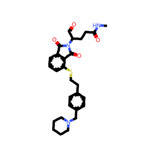 CNC(=O)CCC(C=O)N1C(=O)c2cccc(SCCc3ccc(CN4CCCCC4)cc3)c2C1=O